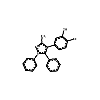 Cc1nn(-c2ccccc2)c(-c2ccccc2)c1-c1ccc(O)c(O)c1